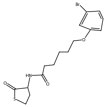 O=C(CCCCCOc1cccc(Br)c1)NC1CCSC1=O